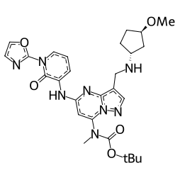 CO[C@@H]1CC[C@@H](NCc2cnn3c(N(C)C(=O)OC(C)(C)C)cc(Nc4cccn(-c5ncco5)c4=O)nc23)C1